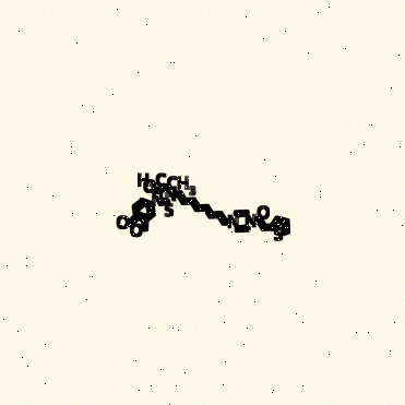 CC1(C)C(=O)N(c2ccc3c(c2)COC3=O)C(=S)N1CCCCCCCCN1CCN(C(=O)Cc2cccs2)CC1